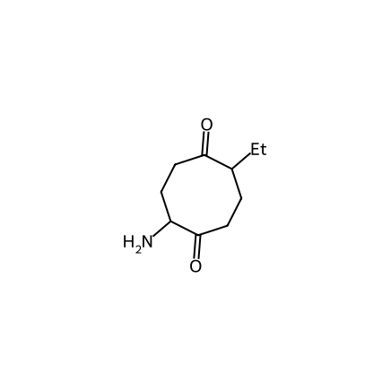 CCC1CCC(=O)C(N)CCC1=O